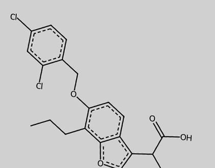 CCCc1c(OCc2ccc(Cl)cc2Cl)ccc2c(C(C)C(=O)O)coc12